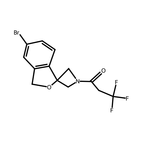 O=C(CC(F)(F)F)N1CC2(C1)OCc1cc(Br)ccc12